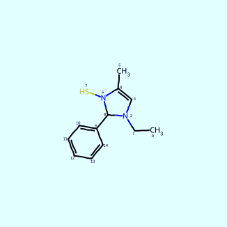 CCN1C=C(C)N(S)C1c1ccccc1